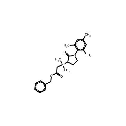 Cc1cc(C)c(N2CCC([N+](C)(C)CC(=O)OCc3ccccc3)C2=O)c(C)c1